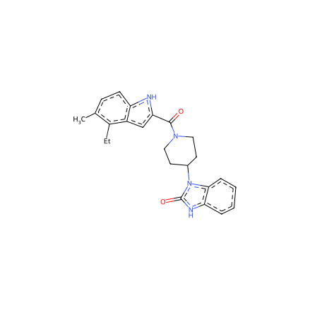 CCc1c(C)ccc2[nH]c(C(=O)N3CCC(n4c(=O)[nH]c5ccccc54)CC3)cc12